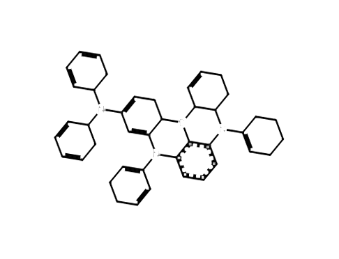 C1=CCC(N(C2=CCC3B4c5c(cccc5N(C5=CCCCC5)C5CCC=CC45)N(C4=CCCC=C4)C3=C2)C2C=CC=CC2)C=C1